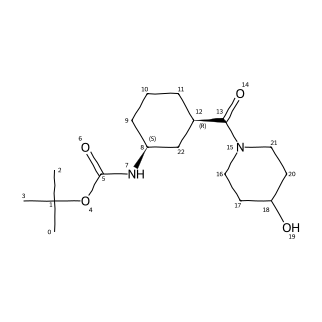 CC(C)(C)OC(=O)N[C@H]1CCC[C@@H](C(=O)N2CCC(O)CC2)C1